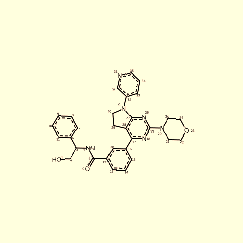 O=C(NC(CO)c1ccccc1)c1cccc(-c2nc(N3CCOCC3)nc3c2CCN3c2cccnc2)c1